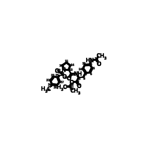 CC(=O)Nc1ccc(C[C@H](NC(=O)[C@@H]2CCCN2S(=O)(=O)c2ccc(C)cc2)C(=O)OC(C)C)cc1